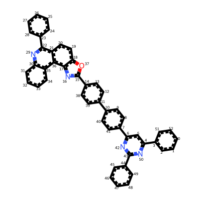 c1ccc(-c2cc(-c3ccc(-c4ccc(-c5nc6c(ccc7c(-c8ccccc8)nc8ccccc8c76)o5)cc4)cc3)nc(-c3ccccc3)n2)cc1